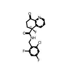 O=C1CC[C@@](F)(C(=O)NCc2c(F)cc(F)cc2Cl)c2cccnc21